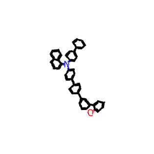 c1ccc(-c2ccc(N(c3ccc(-c4ccc(-c5ccc6oc7ccccc7c6c5)cc4)cc3)c3cccc4ccccc34)cc2)cc1